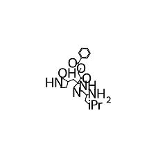 CC(C)CC(N)C1=NCC(CC2CCNC2O)(C(=O)COC(=O)c2ccccc2)N1